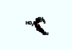 C=C(C)C(=O)OCCC(=Cc1ccc(OC(=O)c2ccc(OC[C@@H](C)CC)cc2)cc1)C(=O)O